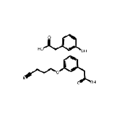 N#CCCCOc1cccc(CC(=O)O)c1.O=C(O)Cc1cccc(O)c1